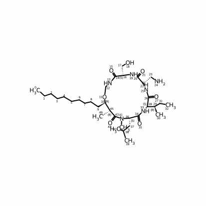 CCCCCCCCCC[C@H]1OCNC(=O)[C@H](CO)NC(=O)[C@H](CN)NC(=O)[C@H]([C@H](C)CC)NC(=O)[C@H](CC(C)C)N(C)C(=O)[C@@H]1C